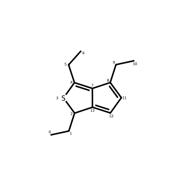 CC[C]1SC(CC)=C2C(CC)=CC=C12